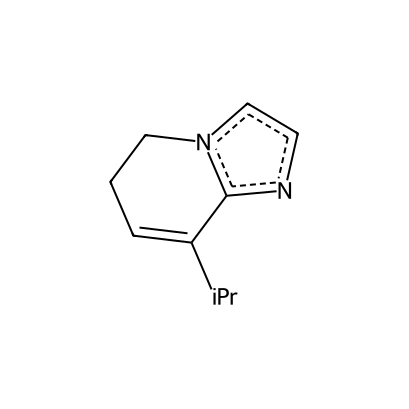 CC(C)C1=CCCn2ccnc21